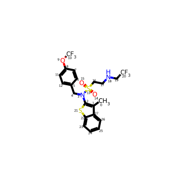 Cc1c(N(Cc2ccc(OC(F)(F)F)cc2)S(=O)(=O)CCNCC(F)(F)F)sc2ccccc12